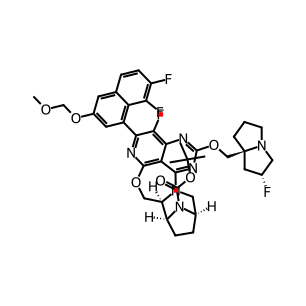 COCOc1cc(-c2nc3c4c(nc(OC[C@@]56CCCN5C[C@H](F)C6)nc4c2F)N2C[C@H]4CC[C@@H]([C@H]2CO3)N4C(=O)OC(C)(C)C)c2c(F)c(F)ccc2c1